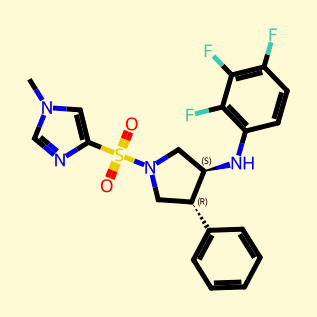 Cn1cnc(S(=O)(=O)N2C[C@@H](Nc3ccc(F)c(F)c3F)[C@H](c3ccccc3)C2)c1